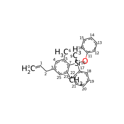 C=CCc1cc(C)c([Si](C)(Oc2ccccc2)c2ccccc2)c(C)c1